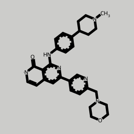 CN1CCC(c2ccc(Nc3nc(-c4ccc(CN5CCOCC5)nc4)cc4c3C(=O)[N]C=C4)cc2)CC1